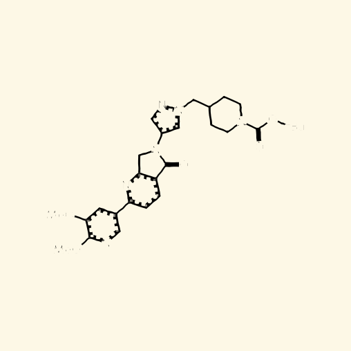 COc1cc(-c2ccc3c(n2)CN(c2cnn(CC4CCN(C(=O)OC(C)(C)C)CC4)c2)C3=O)cnc1OC